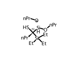 CCCO[SiH](OCCC)[C@](S)(CCC)[Si](CC)(CC)CC